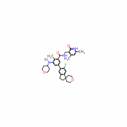 CCN(c1cc(-c2cc3c(cc2F)C2(CCOCC2)CC3)cc(C(=O)NCc2c(C)cc(C)[nH]c2=O)c1C)C1CCOCC1